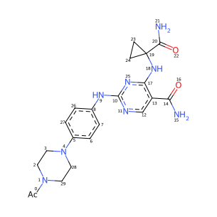 CC(=O)N1CCN(c2ccc(Nc3ncc(C(N)=O)c(NC4(C(N)=O)CC4)n3)cc2)CC1